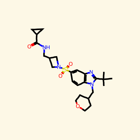 CC(C)(C)c1nc2cc(S(=O)(=O)N3CC(CNC(=O)C4CC4)C3)ccc2n1CC1CCOCC1